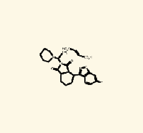 CC(N1CCCCC1)N1C(=O)C2CCCC(c3noc4cc(F)ccc34)C2C1=O.O=C(O)C=CC(=O)O